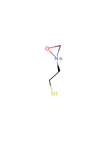 SCC[N@]1CO1